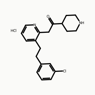 Cl.O=C(Cc1ncccc1CCc1cccc(Cl)c1)C1CCNCC1